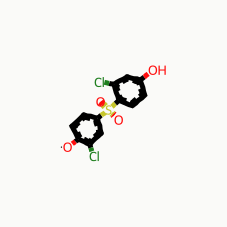 [O]c1ccc(S(=O)(=O)c2ccc(O)cc2Cl)cc1Cl